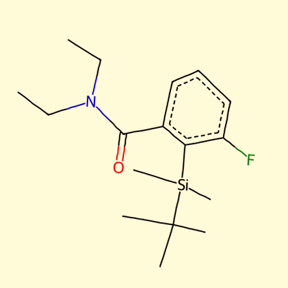 CCN(CC)C(=O)c1cccc(F)c1[Si](C)(C)C(C)(C)C